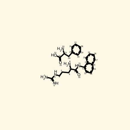 N=C(N)NCCCC(N)C(=O)Nc1cccc2ccccc12.NC(Cc1ccccc1)C(=O)O